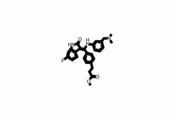 COC(=O)CCc1ccc(/C(Nc2cccc(CN(C)C)c2)=C2/C(=O)Nc3cc(F)ccc32)cc1